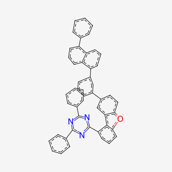 c1ccc(-c2nc(-c3ccccc3)nc(-c3cccc4oc5ccc(-c6cccc(-c7cccc8c(-c9ccccc9)cccc78)c6)cc5c34)n2)cc1